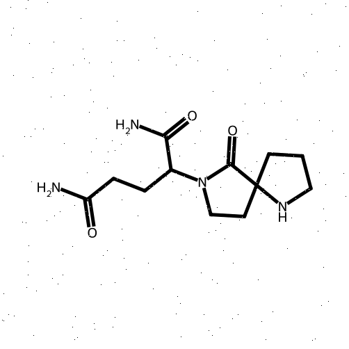 NC(=O)CCC(C(N)=O)N1CCC2(CCCN2)C1=O